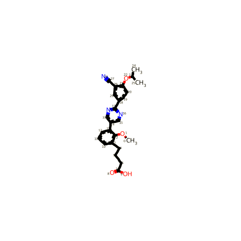 COc1c(CCCC(=O)O)cccc1-c1cnc(-c2ccc(OC(C)C)c(C#N)c2)nc1